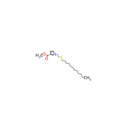 CCCCCCCCCCCCSCCn1ccc(C(=O)OC)c1